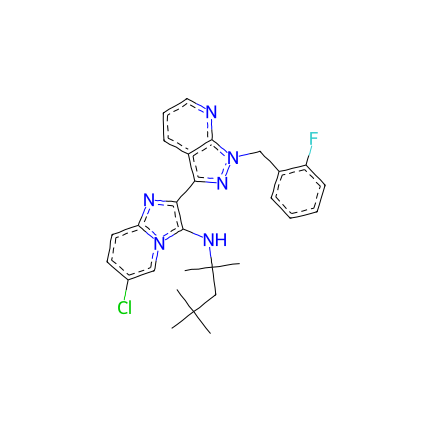 CC(C)(C)CC(C)(C)Nc1c(-c2nn(Cc3ccccc3F)c3ncccc23)nc2ccc(Cl)cn12